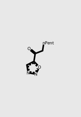 CCCCCCC(=O)c1cnno1